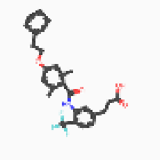 Cc1cc(OCCc2ccccc2)cc(C)c1C(=O)Nc1cc(CCC(=O)O)ccc1C(F)(F)F